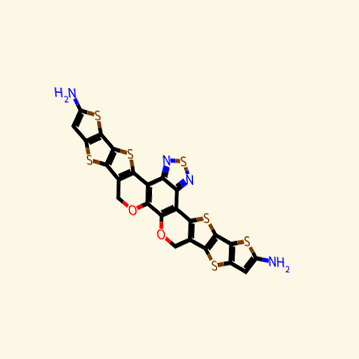 Nc1cc2sc3c4c(sc3c2s1)-c1c(c2c(c3nsnc13)-c1sc3c(sc5cc(N)sc53)c1CO2)OC4